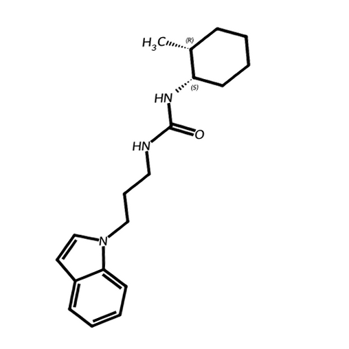 C[C@@H]1CCCC[C@@H]1NC(=O)NCCCn1ccc2ccccc21